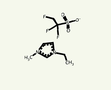 CCn1cc[n+](C)c1.O=S(=O)([O-])C(F)(F)CF